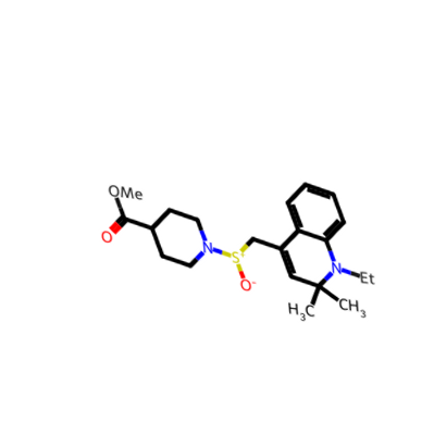 CCN1c2ccccc2C(C[S+]([O-])N2CCC(C(=O)OC)CC2)=CC1(C)C